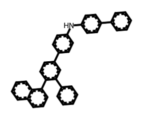 c1ccc(-c2ccc(Nc3ccc(-c4ccc(-c5cccc6ccccc56)c(-c5ccccc5)c4)cc3)cc2)cc1